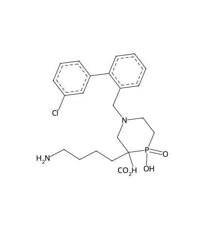 NCCCCC1(C(=O)O)CN(Cc2ccccc2-c2cccc(Cl)c2)CCP1(=O)O